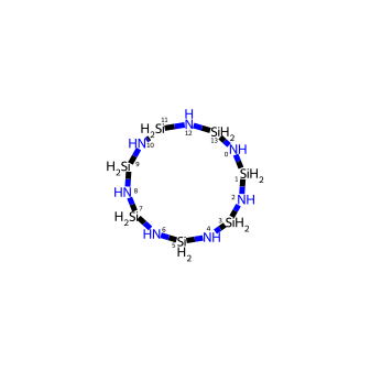 N1[SiH2]N[SiH2]N[SiH2]N[SiH2]N[SiH2]N[SiH2]N[SiH2]1